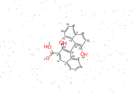 O=C(O)c1cc2ccccc2c(-c2c(O)ccc3ccccc23)c1O